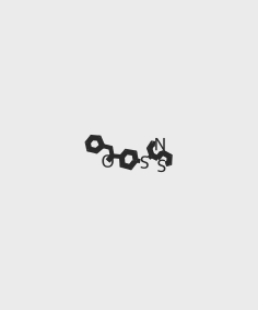 O=C(Cc1ccccc1)c1ccc(Sc2ccnc3ccsc23)cc1